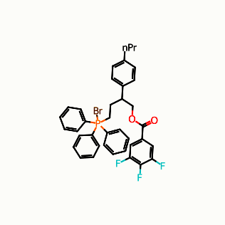 CCCc1ccc(C(CCP(Br)(c2ccccc2)(c2ccccc2)c2ccccc2)COC(=O)c2cc(F)c(F)c(F)c2)cc1